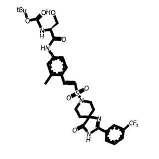 Cc1cc(NC(=O)[C@H](CO)NC(=O)OC(C)(C)C)ccc1/C=C/S(=O)(=O)N1CCC2(CC1)N=C(c1cccc(C(F)(F)F)c1)NC2=O